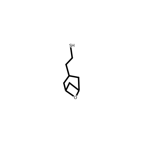 SCCC1CC2CC(C1)O2